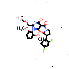 CCOCc1nc(=O)c(C(=O)N2CCC(c3ccc(F)cc3F)C2)c(O)n1-c1c(OC)cccc1OC